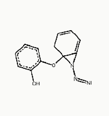 N=NN1C2=CC=CCC21Oc1ccccc1O